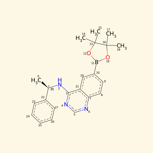 C[C@@H](Nc1ncnc2ccc(B3OC(C)(C)C(C)(C)O3)cc12)c1ccccc1